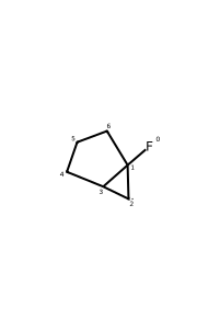 FC12[CH]C1CCC2